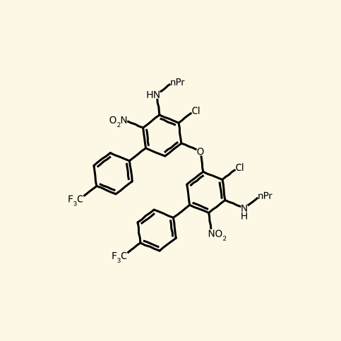 CCCNc1c(Cl)c(Oc2cc(-c3ccc(C(F)(F)F)cc3)c([N+](=O)[O-])c(NCCC)c2Cl)cc(-c2ccc(C(F)(F)F)cc2)c1[N+](=O)[O-]